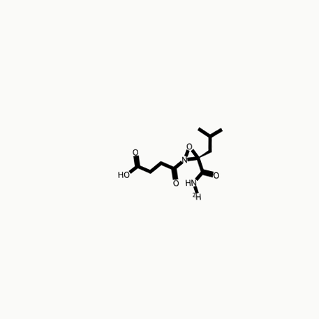 [2H]NC(=O)[C@@]1(CC(C)C)ON1C(=O)CCC(=O)O